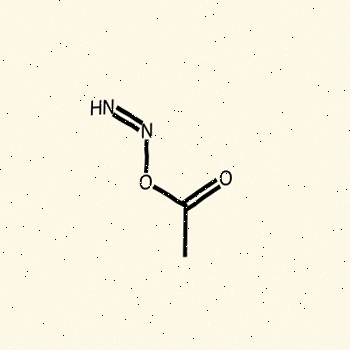 CC(=O)ON=N